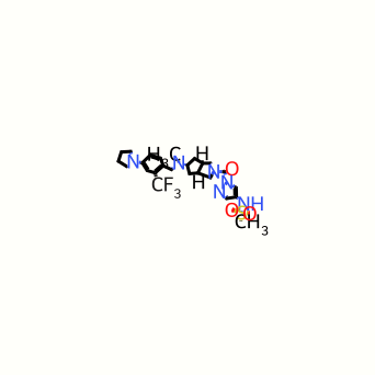 CN(Cc1ccc(N2CCCC2)cc1C(F)(F)F)[C@H]1C[C@@H]2CN(C(=O)n3cc(NS(C)(=O)=O)cn3)C[C@@H]2C1